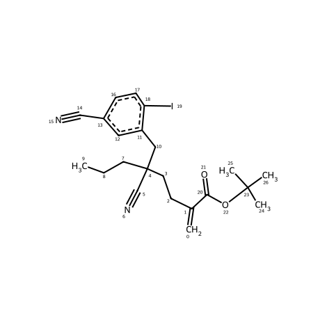 C=C(CCC(C#N)(CCC)Cc1cc(C#N)ccc1I)C(=O)OC(C)(C)C